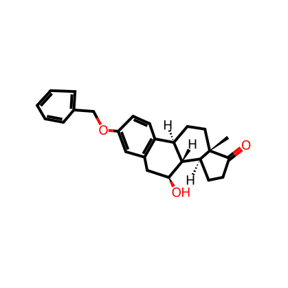 C[C@]12CC[C@@H]3c4ccc(OCc5ccccc5)cc4C[C@H](O)[C@H]3[C@@H]1CCC2=O